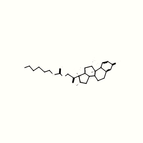 CCCCCCNC(=O)OCC(=O)[C@@]1(O)[C@H](C)CC2C3CCC4=CC(=O)C=C[C@]4(C)[C@@]3(F)[C@@H](O)C[C@@]21C